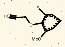 C#CCOc1c(F)cccc1OC